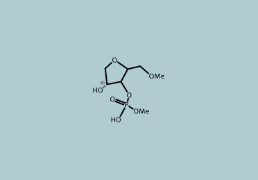 COCC1OC[C@@H](O)C1OP(=O)(O)OC